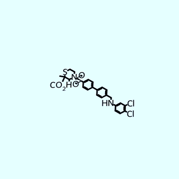 CC1(C)SCCN(S(=O)(=O)c2ccc(-c3ccc(CNc4ccc(Cl)c(Cl)c4)cc3)cc2)C1C(=O)O